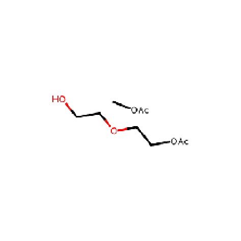 CC(=O)OCCOCCO.COC(C)=O